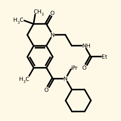 CCC(=O)NCCN1C(=O)C(C)(C)Cc2cc(C)c(C(=O)N(C(C)C)C3CCCCC3)cc21